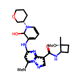 CNc1cc(NC2=CC=CN([C@H]3CCCOC3)C2O)nc2c(C(=O)NC3CC[C@@]3(C)OC)cnn12